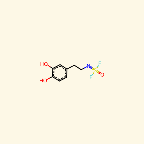 O=S(F)(F)=NCCc1ccc(O)c(O)c1